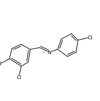 Clc1ccc(/N=C/c2ccc(Cl)c(Cl)c2)cc1